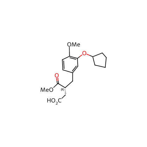 COC(=O)[C@@H](CC(=O)O)Cc1ccc(OC)c(OC2CCCC2)c1